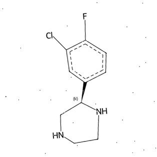 Fc1ccc([C@@H]2CNCCN2)cc1Cl